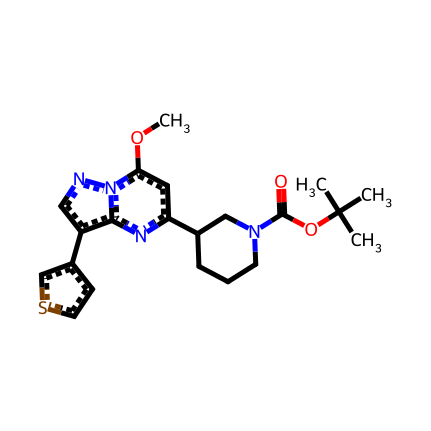 COc1cc(C2CCCN(C(=O)OC(C)(C)C)C2)nc2c(-c3ccsc3)cnn12